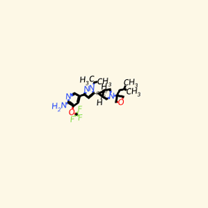 CC(C)CC1(N2C[C@@H]3[C@H](C2)[C@H]3c2cc(-c3cnc(N)c(OC(F)(F)F)c3)nn2C(C)C)COC1